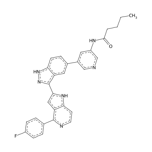 CCCCC(=O)Nc1cncc(-c2ccc3[nH]nc(-c4cc5c(-c6ccc(F)cc6)nccc5[nH]4)c3c2)c1